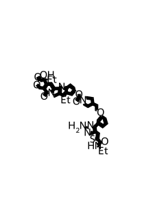 CCNC(=O)c1cc2c(-c3cccc(OCCC4CCN(C(=O)Oc5ccc6nc7c(c(CC)c6c5)Cn5c-7cc6c(c5=O)COC(=O)[C@@]6(O)CC)CC4)c3)nc(N)nc2s1